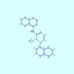 CC1C(Nc2cccc3ccccc23)=CC=CC1c1cccc2ccccc12